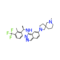 Cc1c([C@@H](C)Nc2nncc3ccc(N4CCC5(CCCN(C)C5)C4)cc23)cccc1C(F)(F)F